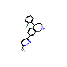 Fc1ccccc1C1CCNCc2cc(-c3ccc(C(F)(F)F)nn3)ccc21